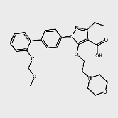 CCc1nn(-c2ccc(-c3ccccc3OCOC)cc2)c(OCCN2CCOCC2)c1C(=O)O